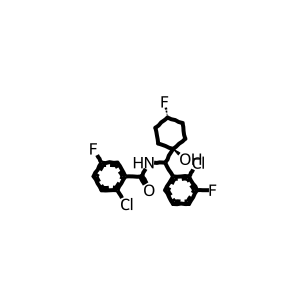 O=C(NC(c1cccc(F)c1Cl)[C@]1(O)CC[C@H](F)CC1)c1cc(F)ccc1Cl